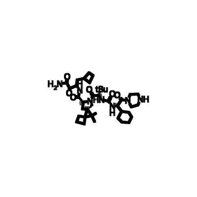 CC(C)(C)[C@H](NC(=O)N[C@H](C(=O)N1CCNCC1)C1CCCCC1)C(=O)N1C[C@]2(C[C@H]1C(=O)NC(CC1CCC1)C(=O)C(N)=O)C(C)(C)C21CCC1